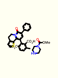 COC(=O)N1CCNCC1.Cc1ccc(C(=O)O)c(-c2cc(-c3ccccc3)c(=O)n3c2-c2sccc2CC3)c1C(=O)O